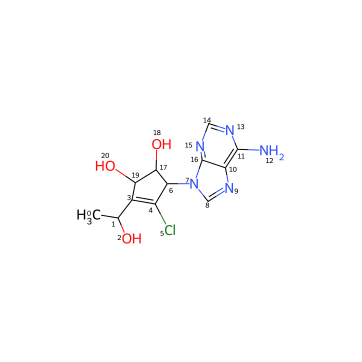 CC(O)C1=C(Cl)C(n2cnc3c(N)ncnc32)C(O)C1O